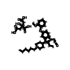 CCCCCCN1CCC(c2c(CC)n(N=C=O)c3ccc(Oc4ccccc4OC)cc23)CC1.O=C(O)CC(O)(CC(=O)O)C(=O)O